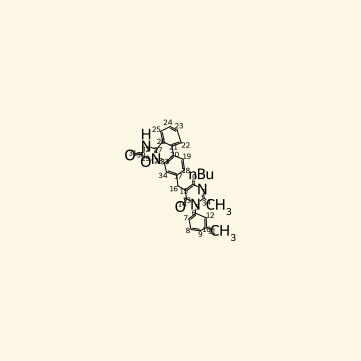 CCCCc1nc(C)n(-c2cccc(C)c2)c(=O)c1Cc1ccc(-c2ccccc2-c2noc(=O)[nH]2)cc1